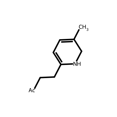 CC(=O)CCC1=CC=C(C)CN1